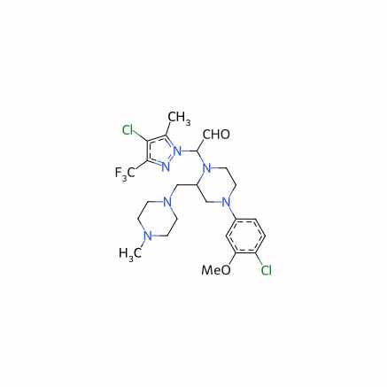 COc1cc(N2CCN(C(C=O)n3nc(C(F)(F)F)c(Cl)c3C)C(CN3CCN(C)CC3)C2)ccc1Cl